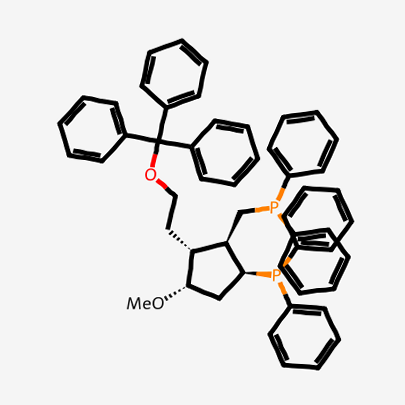 CO[C@H]1C[C@H](P(c2ccccc2)c2ccccc2)[C@H](CP(c2ccccc2)c2ccccc2)[C@H]1CCOC(c1ccccc1)(c1ccccc1)c1ccccc1